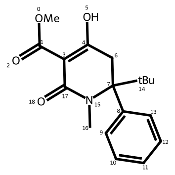 COC(=O)C1=C(O)CC(c2ccccc2)(C(C)(C)C)N(C)C1=O